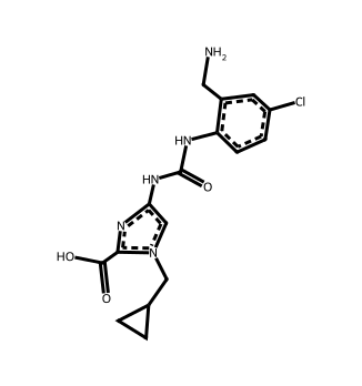 NCc1cc(Cl)ccc1NC(=O)Nc1cn(CC2CC2)c(C(=O)O)n1